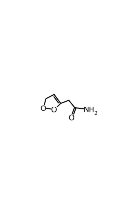 NC(=O)CC1=CCOO1